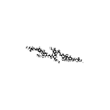 COc1cc(/C=C/C(=O)Cc2cc(N)ccc2-c2ccc(N)cc2CC(=O)/C=C/c2ccc(OC(=O)c3ccc(OCCCC(F)(F)C(F)(F)F)cc3)c(OC)c2)ccc1OC(=O)c1ccc(OCCCC(F)(F)C(F)(F)F)cc1